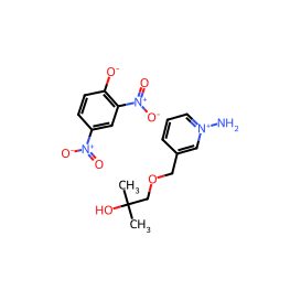 CC(C)(O)COCc1ccc[n+](N)c1.O=[N+]([O-])c1ccc([O-])c([N+](=O)[O-])c1